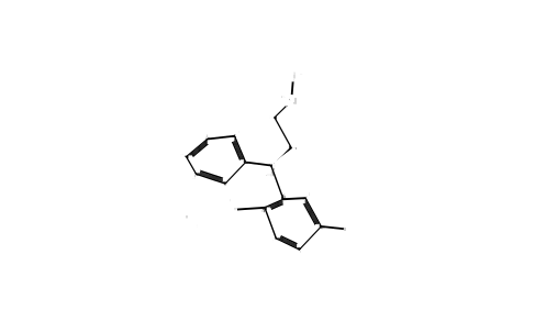 CCc1ccc(O)c([C@H](CCNC(C)C)c2ccccc2)c1.Cl